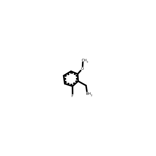 BCc1c(F)cccc1OC